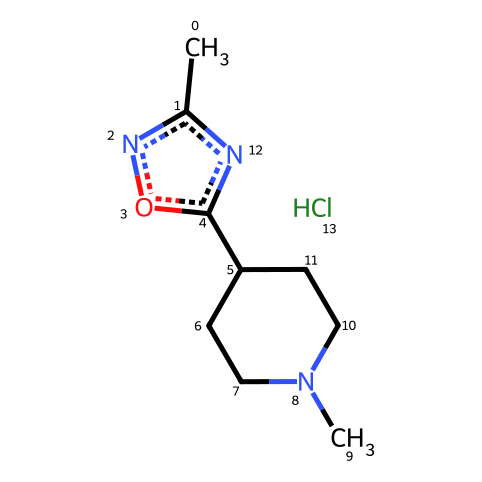 Cc1noc(C2CCN(C)CC2)n1.Cl